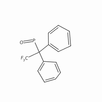 O=PC(c1ccccc1)(c1ccccc1)C(F)(F)F